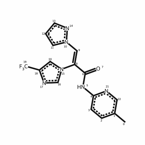 Cc1ccc(NC(=O)/C(=C/n2cccn2)n2cnc(C(F)(F)F)c2)nc1